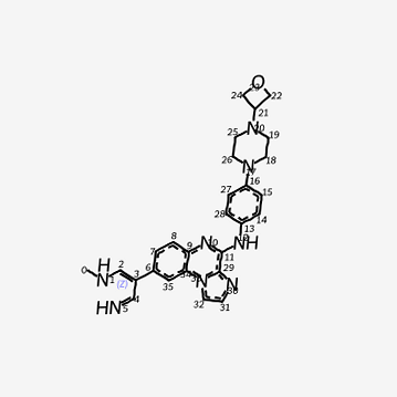 CN/C=C(\C=N)c1ccc2nc(Nc3ccc(N4CCN(C5COC5)CC4)cc3)c3nccn3c2c1